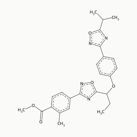 CCC(Oc1ccc(-c2noc(C(C)C)n2)cc1)c1nc(-c2ccc(C(=O)OC)c(C)c2)no1